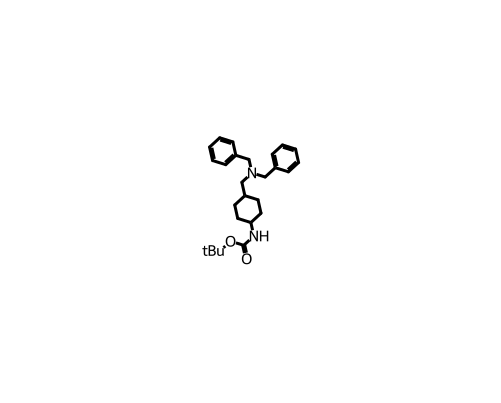 CC(C)(C)OC(=O)NC1CCC(CN(Cc2ccccc2)Cc2ccccc2)CC1